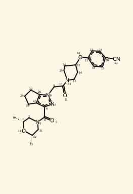 C[C@@H]1CN(C(=O)c2nn(CC(=O)N3CCC(Oc4ccc(C#N)cc4)CC3)c3c2CCC3)C[C@H](C)O1